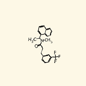 CC(c1cccc2ccccc12)N(C)C(=O)CCc1cccc(C(F)(F)F)c1